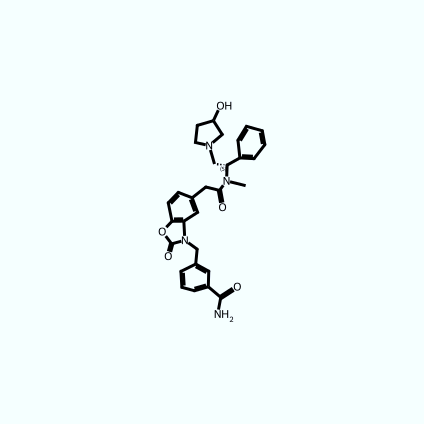 CN(C(=O)Cc1ccc2oc(=O)n(Cc3cccc(C(N)=O)c3)c2c1)[C@H](CN1CCC(O)C1)c1ccccc1